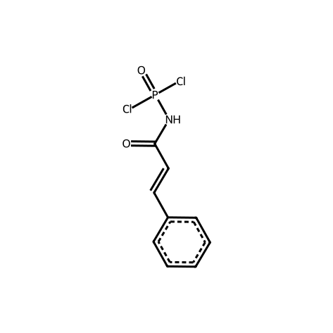 O=C(C=Cc1ccccc1)NP(=O)(Cl)Cl